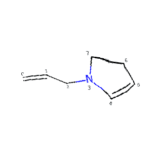 C=CCN1C=CCC1